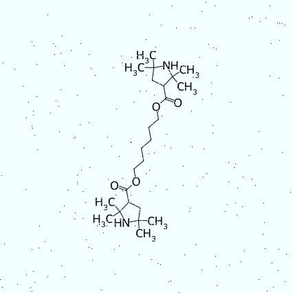 CC1(C)CC(C(=O)OCCCCCCOC(=O)C2CC(C)(C)NC2(C)C)C(C)(C)N1